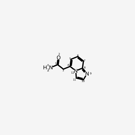 NC(=O)Cc1cccc2nccn12